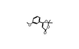 COc1cccc(C2=CC(=O)OC(C)(C)O2)c1